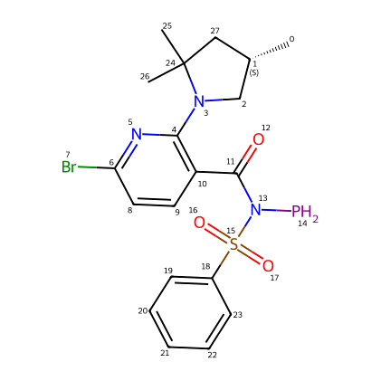 C[C@@H]1CN(c2nc(Br)ccc2C(=O)N(P)S(=O)(=O)c2ccccc2)C(C)(C)C1